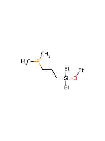 CCO[Si](CC)(CC)CCCP(C)C